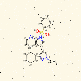 Cn1cc(-c2cn(S(=O)(=O)c3ccccc3)c3nccc(C4C=CCCC4)c23)cn1